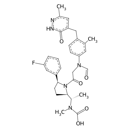 Cc1cc(Cc2ccc(N(C=O)CC(=O)N3[C@@H]([C@H](C)N(C)C(=O)O)CC[C@H]3c3cccc(F)c3)cc2C)c(=O)[nH]n1